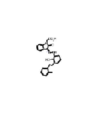 Cc1ccccc1CCc1cccc(N/N=C2\C(=O)N(CC(=O)O)c3ccccc32)c1O